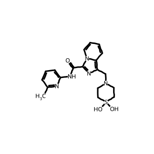 Cc1cccc(NC(=O)c2nc(CN3CCS(O)(O)CC3)c3ccccn23)n1